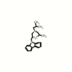 CC(C)[CH2][Al]([CH2]CCn1c2ccccc2c2ccccc21)[CH2]C(C)C